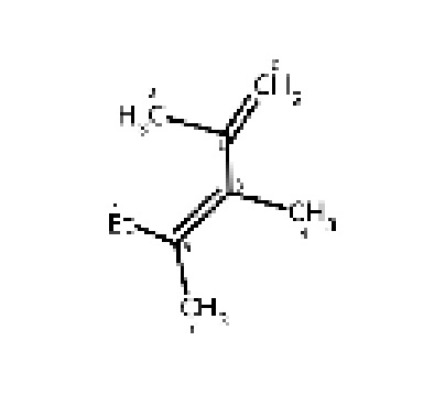 C=C(C)C(C)=C(C)CC